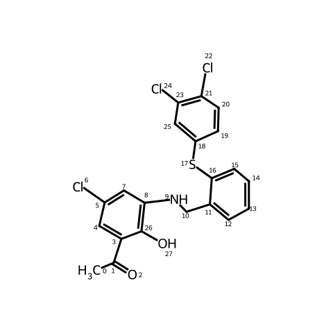 CC(=O)c1cc(Cl)cc(NCc2ccccc2Sc2ccc(Cl)c(Cl)c2)c1O